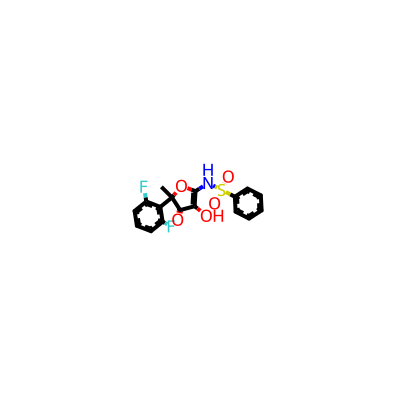 CC1(c2c(F)cccc2F)OC(NS(=O)(=O)c2ccccc2)=C(O)C1=O